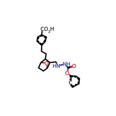 O=C(NNCC1C2CCC(O2)C1CCc1ccc(C(=O)O)cc1)Oc1ccccc1